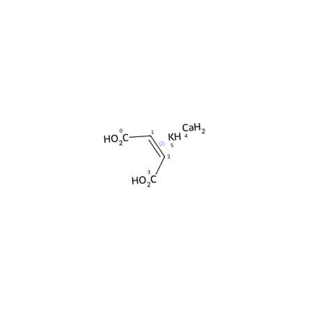 O=C(O)/C=C\C(=O)O.[CaH2].[KH]